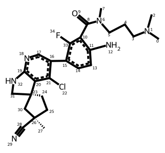 CN(C)CCCN(C)C(=O)c1c(N)ccc(-c2cnc3c(c2Cl)[C@]2(CC[C@@](C)(C#N)C2)CN3)c1F